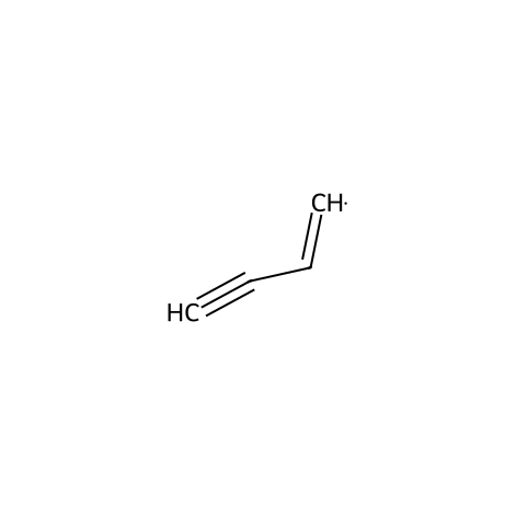 [CH]=CC#C